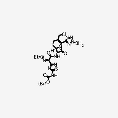 Bn1nnc(C2=C(CCl)CS[C@@H]3[C@H](NC(=O)/C(=N\OCC)c4nsc(NC(=O)OC(C)(C)C)n4)C(=O)N23)n1